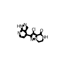 O=C1NCCn2nc(-c3ccnc4[nH]ncc34)c(Cl)c21